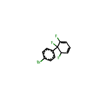 FC1=CC=CC(F)C1(F)c1ccc(Br)cc1